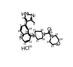 Cc1n[nH]cc1-c1ccc2nccc(N3CCN(C(=O)N4CCOCC4)CC3)c2c1.Cl